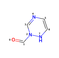 O=CN1C=NC=CN1